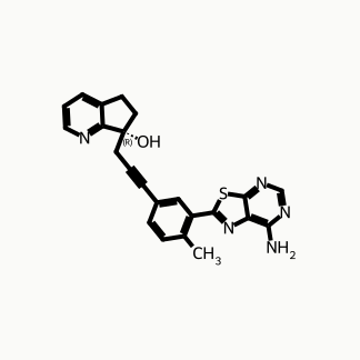 Cc1ccc(C#CC[C@]2(O)CCc3cccnc32)cc1-c1nc2c(N)ncnc2s1